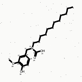 CCCCCCCCCCCCN(Cc1ccc(O)c(OC)c1)C(=O)O